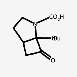 CC(C)(C)C12C(=O)CC1CCN2C(=O)O